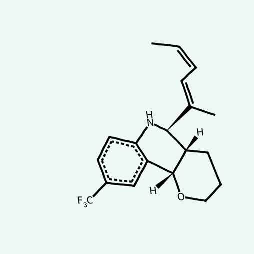 C/C=C\C=C(/C)[C@@H]1Nc2ccc(C(F)(F)F)cc2[C@H]2OCCC[C@H]21